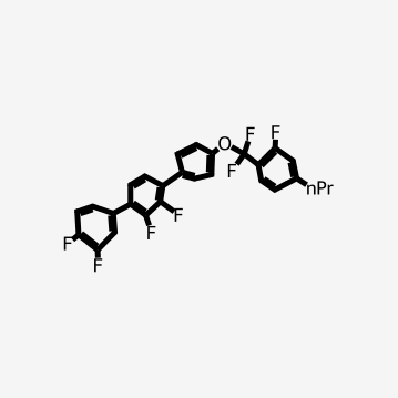 CCCc1ccc(C(F)(F)Oc2ccc(-c3ccc(-c4ccc(F)c(F)c4)c(F)c3F)cc2)c(F)c1